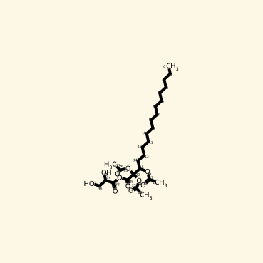 CCCCCCCCCCCCCCCC(OC(C)=O)C(OC(C)=O)(OC(C)=O)C(=O)OC(=O)C(O)CO